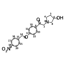 O=C(CN1CCC(O)C1)c1ccc(OCc2ccc([N+](=O)[O-])cc2)cc1